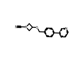 N#CN1CC(OCc2ccc(-c3cccnc3)cc2)C1